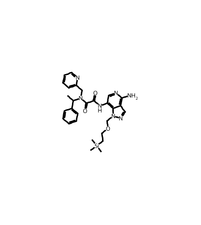 CC(c1ccccc1)N(Cc1ccccn1)C(=O)C(=O)Nc1cnc(N)c2cnn(COCC[Si](C)(C)C)c12